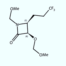 COCO[C@H]1C(=O)N(COC)[C@H]1CCC(F)(F)F